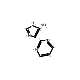 N.c1c[nH]cn1.c1cncnc1